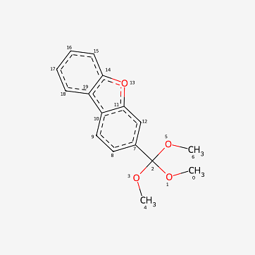 COC(OC)(OC)c1ccc2c(c1)oc1ccccc12